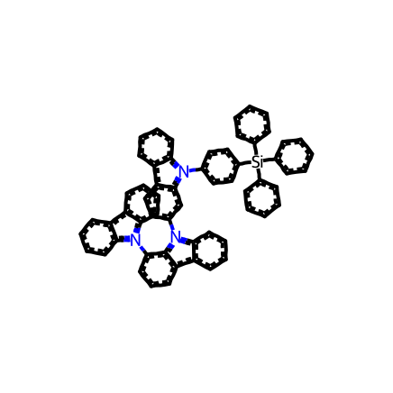 c1ccc([Si](c2ccccc2)(c2ccccc2)c2ccc(-n3c4ccccc4c4ccc(-n5c6ccccc6c6cccc(-n7c8ccccc8c8ccccc87)c65)cc43)cc2)cc1